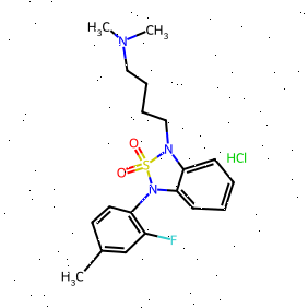 Cc1ccc(N2c3ccccc3N(CCCCN(C)C)S2(=O)=O)c(F)c1.Cl